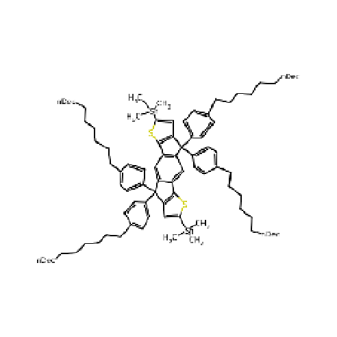 CCCCCCCCCCCCCCCCc1ccc(C2(c3ccc(CCCCCCCCCCCCCCCC)cc3)c3cc4c(cc3-c3s[c]([Sn]([CH3])([CH3])[CH3])cc32)C(c2ccc(CCCCCCCCCCCCCCCC)cc2)(c2ccc(CCCCCCCCCCCCCCCC)cc2)c2c[c]([Sn]([CH3])([CH3])[CH3])sc2-4)cc1